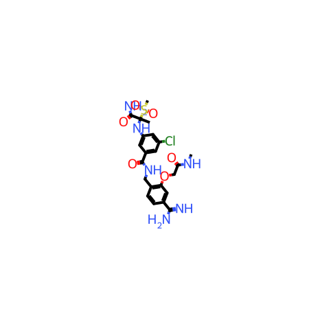 CNC(=O)COc1cc(C(=N)N)ccc1CNC(=O)c1cc(Cl)cc(NC(C)(C(N)=O)S(C)(=O)=O)c1